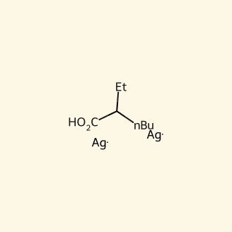 CCCCC(CC)C(=O)O.[Ag].[Ag]